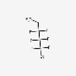 [CH2]CC(F)(F)C(F)(F)C(F)(F)CC(F)(F)F